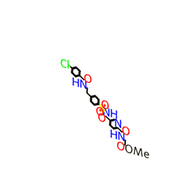 COC(=O)CNC(=O)c1ccc(C(=O)NS(=O)(=O)c2ccc(CCNC(=O)c3ccc(Cl)cc3)cc2)cn1